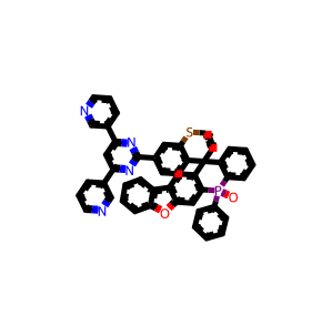 O=P1(c2ccccc2)c2ccccc2C2(c3ccccc3Sc3cc(-c4nc(-c5cccnc5)cc(-c5cccnc5)n4)ccc32)c2cc3c(cc21)oc1ccccc13